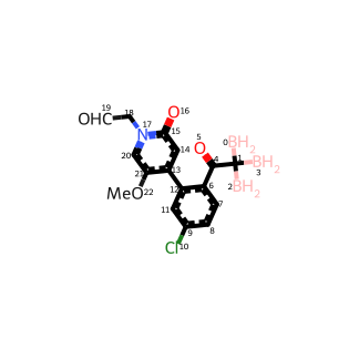 BC(B)(B)C(=O)c1ccc(Cl)cc1-c1cc(=O)n(CC=O)cc1OC